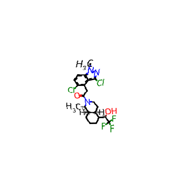 C[C@H]1[C@H]2CCCC([C@@H](O)C(F)(F)F)[C@@H]2CCN1C(=O)Cc1c(Cl)ccc2c1c(Cl)nn2C